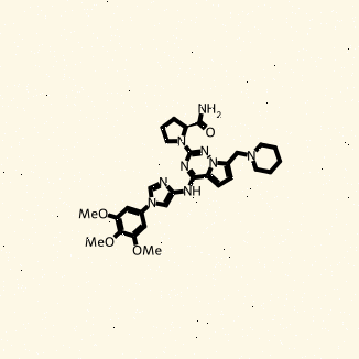 COc1cc(-n2cnc(Nc3nc(N4CCC[C@H]4C(N)=O)nn4c(CN5CCCCC5)ccc34)c2)cc(OC)c1OC